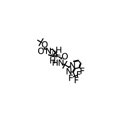 CC(C)(C)OC(=O)N1C[C@@H]2[C@H](C1)[C@H]2C(=O)NC(C)(C)c1nc(C(F)(F)F)c2c(F)cccn12